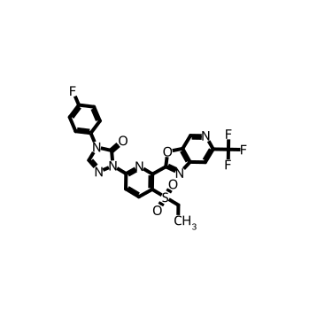 CCS(=O)(=O)c1ccc(-n2ncn(-c3ccc(F)cc3)c2=O)nc1-c1nc2cc(C(F)(F)F)ncc2o1